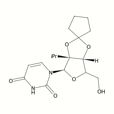 CC(C)[C@@]12OC3(CCCC3)O[C@@H]1C(CO)O[C@H]2n1ccc(=O)[nH]c1=O